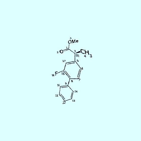 COC(=O)[C@@H](C)c1ccc(-c2ccccc2)c(F)c1